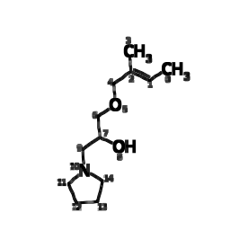 CC=C(C)COCC(O)CN1CCCC1